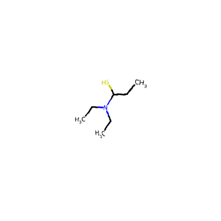 CCC(S)N(CC)CC